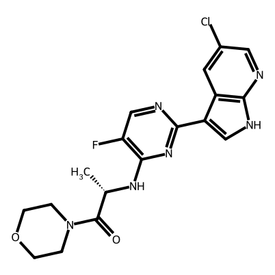 C[C@H](Nc1nc(-c2c[nH]c3ncc(Cl)cc23)ncc1F)C(=O)N1CCOCC1